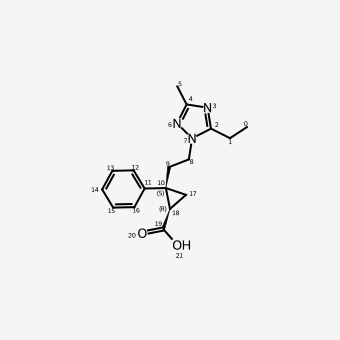 CCc1nc(C)nn1CC[C@@]1(c2ccccc2)C[C@H]1C(=O)O